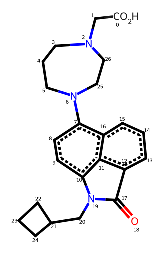 O=C(O)CN1CCCN(c2ccc3c4c(cccc24)C(=O)N3CC2CCC2)CC1